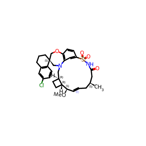 CO[C@@H]1/C=C/C[C@H](C)CC(=O)NS(=O)(=O)c2ccc3c(c2)N(C[C@@H]2CC[C@H]21)C[C@@]1(CCCc2cc(Cl)ccc21)CO3